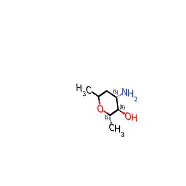 CC1C[C@H](N)[C@@H](O)[C@H](C)O1